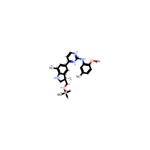 CC(C)Oc1ccc(C#N)cc1Nc1nccc(-c2cc(C#N)c3c(c2)[C@@](C)(CO[Si](C)(C)C(C)(C)C)CN3)n1